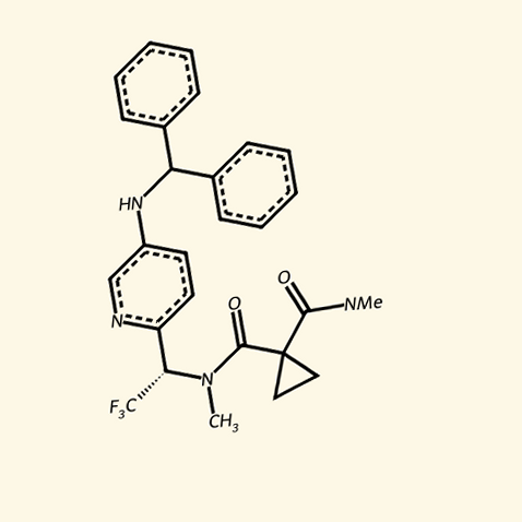 CNC(=O)C1(C(=O)N(C)[C@@H](c2ccc(NC(c3ccccc3)c3ccccc3)cn2)C(F)(F)F)CC1